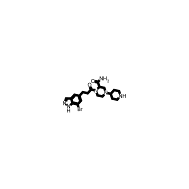 NC(=O)C1CN(C2CCNCC2)CCN1C(=O)[CH]Cc1cc(Br)c2[nH]ncc2c1